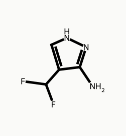 Nc1n[nH]cc1C(F)F